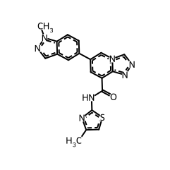 Cc1csc(NC(=O)c2cc(-c3ccc4c(cnn4C)c3)cn3cnnc23)n1